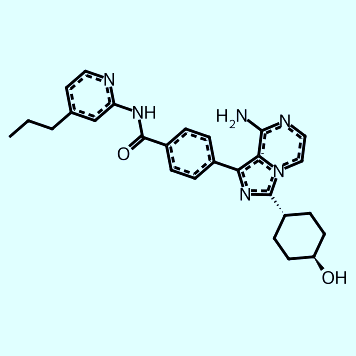 CCCc1ccnc(NC(=O)c2ccc(-c3nc([C@H]4CC[C@H](O)CC4)n4ccnc(N)c34)cc2)c1